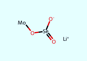 O=[Se]([O-])[O][Mo].[Li+]